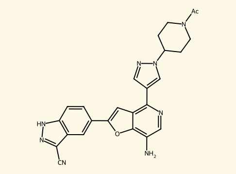 CC(=O)N1CCC(n2cc(-c3ncc(N)c4oc(-c5ccc6[nH]nc(C#N)c6c5)cc34)cn2)CC1